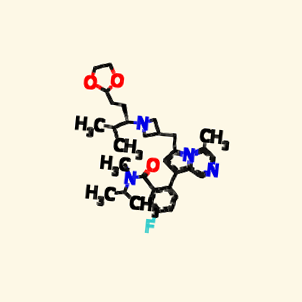 Cc1cncc2c(-c3ccc(F)cc3C(=O)N(C)C(C)C)cc(CC3CN([C@H](CCC4OCCO4)C(C)C)C3)n12